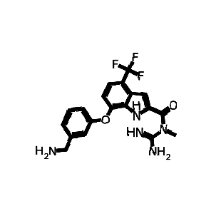 CN(C(=N)N)C(=O)c1cc2c(C(F)(F)F)ccc(Oc3cccc(CN)c3)c2[nH]1